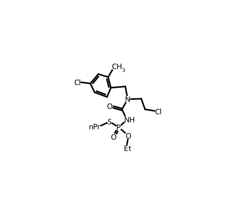 CCCSP(=O)(NC(=O)N(CCCl)Cc1ccc(Cl)cc1C)OCC